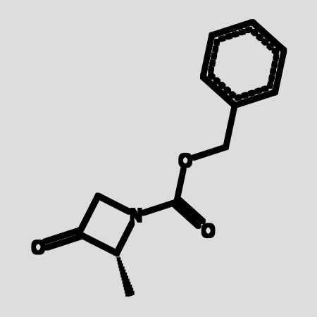 C[C@@H]1C(=O)CN1C(=O)OCc1ccccc1